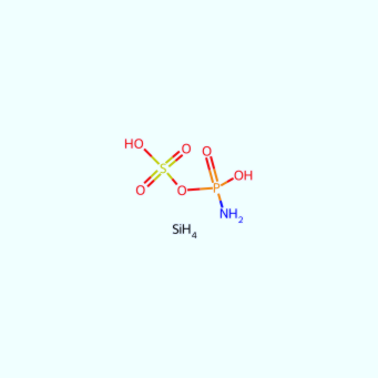 NP(=O)(O)OS(=O)(=O)O.[SiH4]